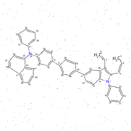 C=Cc1c(/C=C\C)n(-c2ccccc2)c2ccc(-c3ccc(-c4ccc(N(c5ccccc5)c5cccc6ccccc56)cc4)cc3)cc12